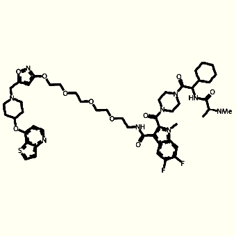 CN[C@@H](C)C(=O)NC(C(=O)N1CCN(C(=O)c2c(C(=O)NCCOCCOCCOCCOc3cc(CN4CCC(Oc5ccnc6ccsc56)CC4)on3)c3cc(F)c(F)cc3n2C)CC1)C1CCCCC1